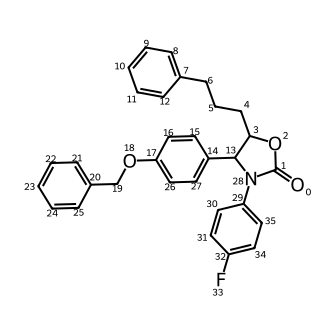 O=C1OC(CCCc2ccccc2)C(c2ccc(OCc3ccccc3)cc2)N1c1ccc(F)cc1